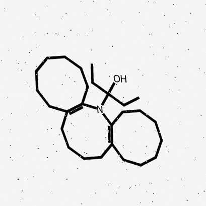 CCC(O)(CC)N1/C2=C(/CCCCCCC2)CCCC/C2=C\1CCCCCCC2